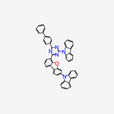 c1ccc(-c2ccc(-c3nc(-c4cccc5c4oc4cc(-n6c7ccccc7c7ccccc76)ccc45)nc(-n4c5ccccc5c5ccccc54)n3)cc2)cc1